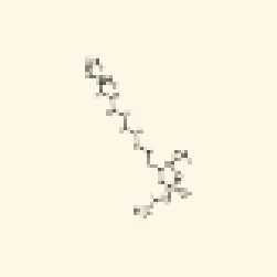 CCOP(=O)(CCCCCCCCCCC[SiH2]OC)OCC